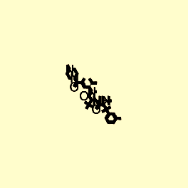 CN[C@H](C(=O)N[C@H](C(=O)N(C)[C@H](/C=C(\C)C(=O)N1CCN(C)CC1)C(C)C)C(C)(C)C)C(C)(C)c1cccc(C)c1